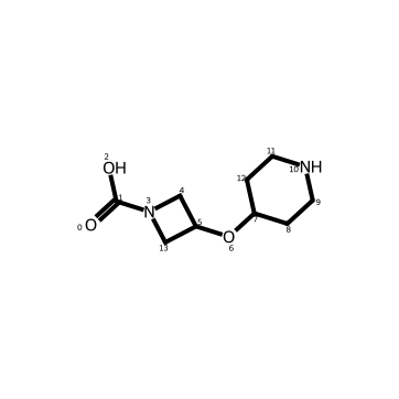 O=C(O)N1CC(OC2CCNCC2)C1